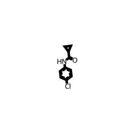 O=C(Nc1ccc(Cl)cc1)C1CC1